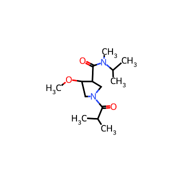 COC1CN(C(=O)C(C)C)CC1C(=O)N(C)C(C)C